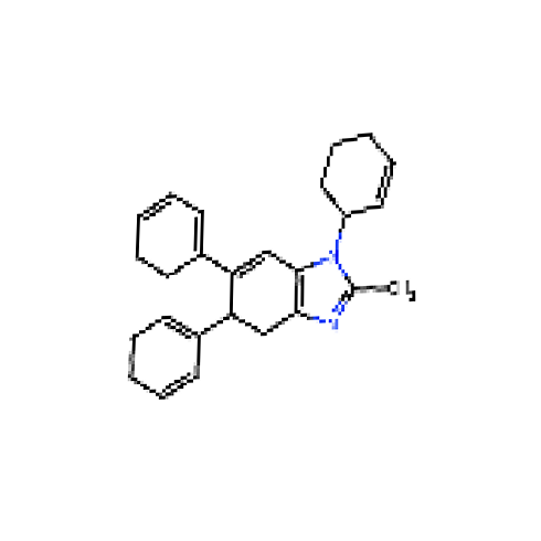 Cc1nc2c(n1C1C=CCCC1)C=C(C1=CC=CCC1)C(C1=CCCC=C1)C2